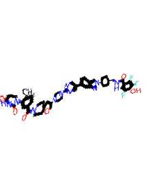 Cc1ccc(C(=O)N2CCC3(CC2)C[C@@H](N2CCN(c4ncc(-c5ccc6cn([C@H]7CC[C@H](CNC(=O)c8cc(F)c(O)c(F)c8F)CC7)nc6c5)cn4)CC2)CO3)cc1N1CCC(=O)NC1=O